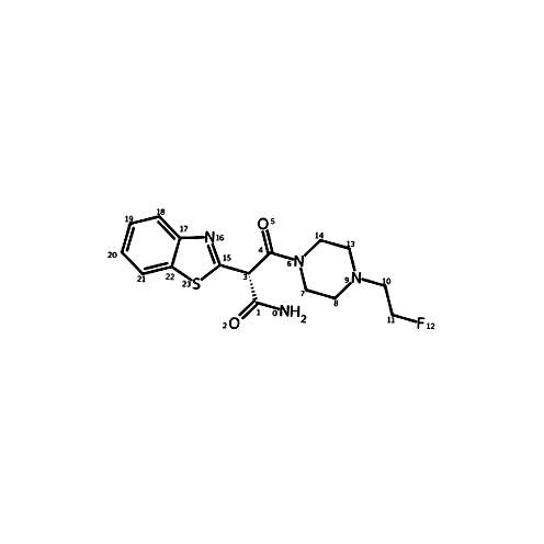 NC(=O)[C@@H](C(=O)N1CCN(CCF)CC1)c1nc2ccccc2s1